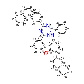 c1ccc(C2N=C(c3ccc4ccc5ccccc5c4c3)N=C(c3cccc4oc5c(-c6ccc7ccccc7c6)cccc5c34)N2)cc1